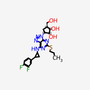 CCCSc1nc(NC2CC2c2ccc(F)c(F)c2)c2nnn([C@H]3C[C@@H](CO)[C@H](O)[C@@H]3O)c2n1